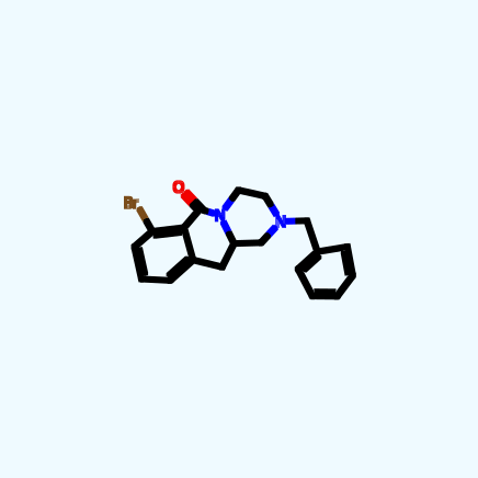 O=C1c2c(Br)cccc2CC2CN(Cc3ccccc3)CCN12